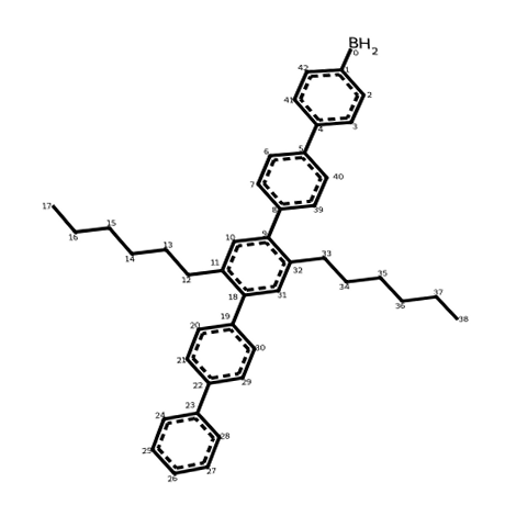 Bc1ccc(-c2ccc(-c3cc(CCCCCC)c(-c4ccc(-c5ccccc5)cc4)cc3CCCCCC)cc2)cc1